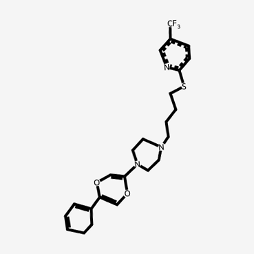 FC(F)(F)c1ccc(SCCCCN2CCN(C3=COC(C4=CC=CCC4)=CO3)CC2)nc1